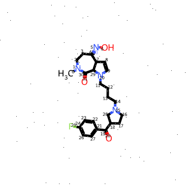 CN1CC/C(=N/O)C2C=CN(CCCCN3CCC(C(=O)c4ccc(F)cc4)C3)C2C1=O